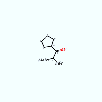 CCCC(NC)C(=O)C1CCCC1